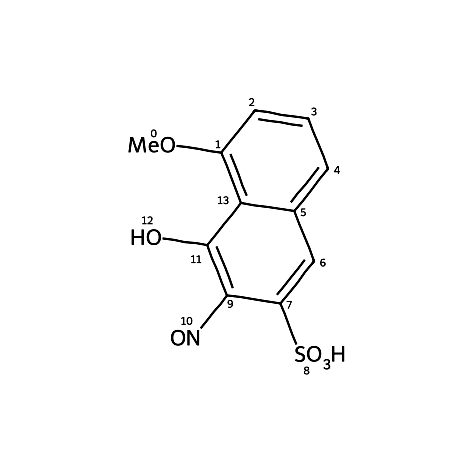 COc1cccc2cc(S(=O)(=O)O)c(N=O)c(O)c12